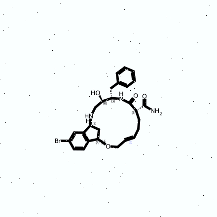 NC(=O)[C@@H]1CC/C=C/CO[C@@H]2C[C@H](NC[C@@H](O)[C@H](Cc3ccccc3)NC1=O)c1cc(Br)ccc12